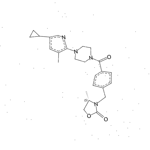 Cc1cc(C2CC2)cnc1N1CCN(C(=O)c2ccc(CN3C(=O)OC[C@@H]3C)cc2)CC1